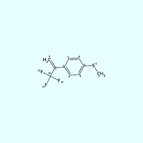 C=C(c1ccc(SC)cc1)C(F)(F)F